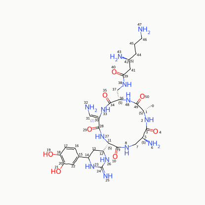 C[C@@H]1NC(=O)[C@@H](N)CNC(=O)[C@H](C2CC(c3ccc(O)c(O)c3)NC(=N)N2)NC(=O)/C(=C/N)NC(=O)[C@H](CNC(=O)C[C@@H](N)CCCN)NC1=O